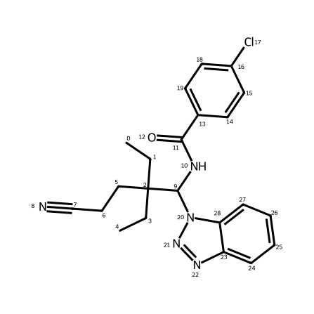 CCC(CC)(CCC#N)C(NC(=O)c1ccc(Cl)cc1)n1nnc2ccccc21